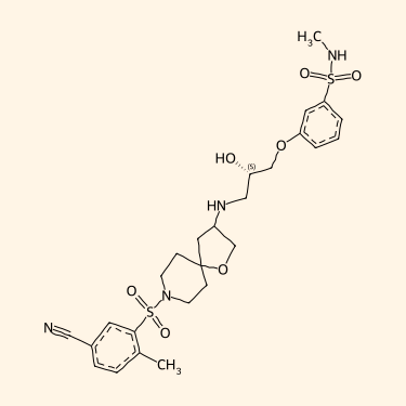 CNS(=O)(=O)c1cccc(OC[C@@H](O)CNC2COC3(CCN(S(=O)(=O)c4cc(C#N)ccc4C)CC3)C2)c1